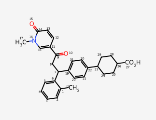 Cc1ccccc1C(CC(=O)c1ccc(=O)n(C)c1)c1ccc(C2CCC(C(=O)O)CC2)cc1